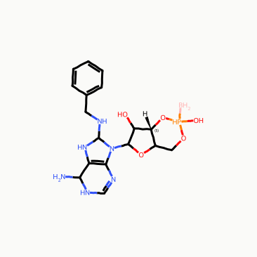 B[PH]1(O)OCC2OC(N3C4=C(NC3NCc3ccccc3)C(N)NC=N4)C(O)[C@@H]2O1